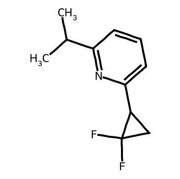 CC(C)c1cccc(C2CC2(F)F)n1